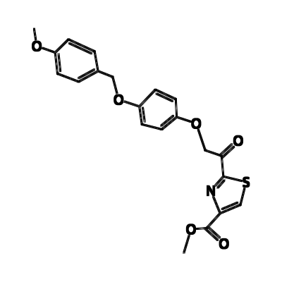 COC(=O)c1csc(C(=O)COc2ccc(OCc3ccc(OC)cc3)cc2)n1